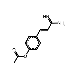 CC(=O)Oc1ccc(C=CC(=N)N)cc1